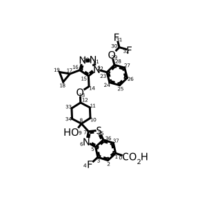 O=C(O)c1cc(F)c2nc(C3(O)CCC(OCc4c(C5CC5)nnn4-c4ccccc4OC(F)F)CC3)sc2c1